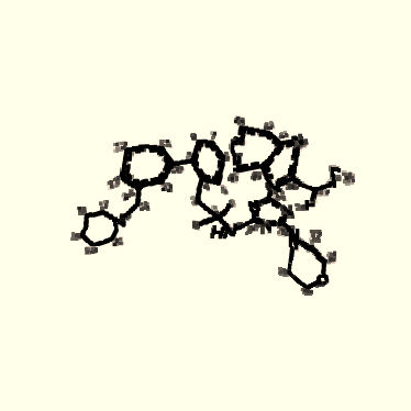 CC(C)(Cc1ccccc1-c1cccc(CN2CCCCC2)c1)Nc1nc(N2CCOCC2)nc(-n2c(C(F)F)nc3ccccc32)n1